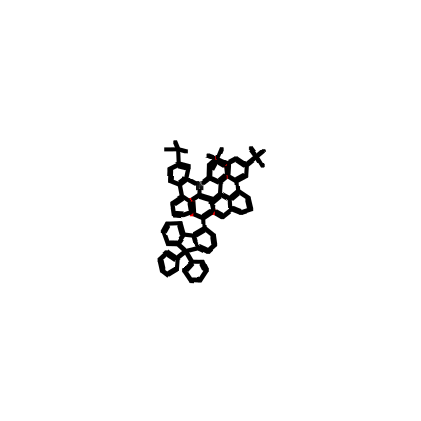 CC(C)(C)c1cc(-c2cccc3cccc(-c4ccccc4N(c4ccc(-c5cccc6c5-c5ccccc5C6(c5ccccc5)c5ccccc5)cc4)c4cc(C(C)(C)C)ccc4-c4ccccc4)c23)cc(C(C)(C)C)c1